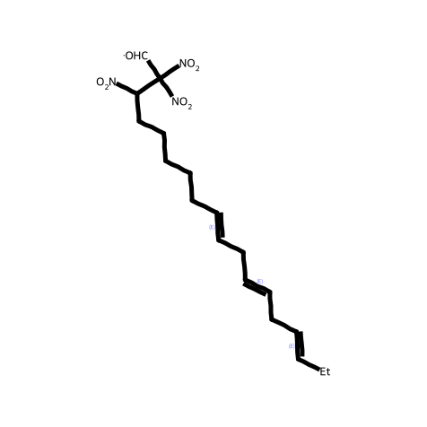 CC/C=C/C/C=C/C/C=C/CCCCCC([N+](=O)[O-])C([C]=O)([N+](=O)[O-])[N+](=O)[O-]